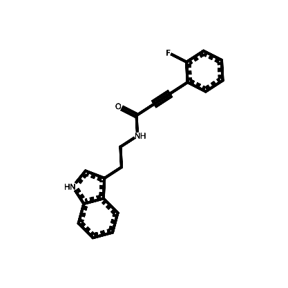 O=C(C#Cc1ccccc1F)NCCc1c[nH]c2ccccc12